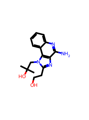 CC(C)(O)Cn1c(CCO)nc2c(N)nc3ccccc3c21